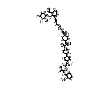 Cc1cnc(Nc2ccc(C3CCN(C(=O)NC4CCC(NCCOCCC#Cc5cccc6c5CN(C5CCC(=O)NC5=O)C6=O)CC4)CC3)cc2)nc1NC1=C(C#N)CCC=C1